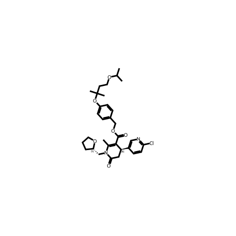 CC1=C(C(=O)OCc2ccc(OC(C)(C)CCOC(C)C)cc2)[C@@H](c2ccc(Cl)nc2)CC(=O)N1C[C@@H]1CCCO1